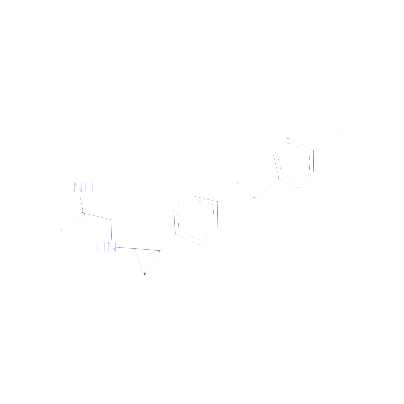 NC(=O)CNC1CC1c1ccc(OCc2ccc(Cl)cc2)cc1